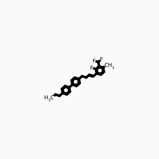 CCCc1ccc(-c2ccc(CC/C=C/c3ccc(C)c(C(F)F)c3F)cc2)cc1